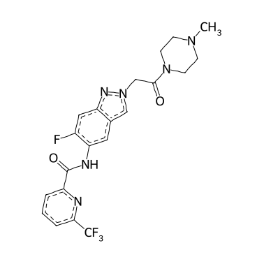 CN1CCN(C(=O)Cn2cc3cc(NC(=O)c4cccc(C(F)(F)F)n4)c(F)cc3n2)CC1